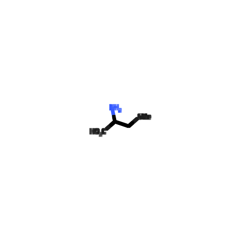 CSCC(N)C(=O)O